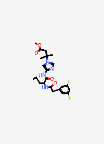 CCCC(NC(=O)Cc1cc(F)cc(F)c1)C(=O)Nc1cn(C(C)(C)CC(=O)OC)cn1